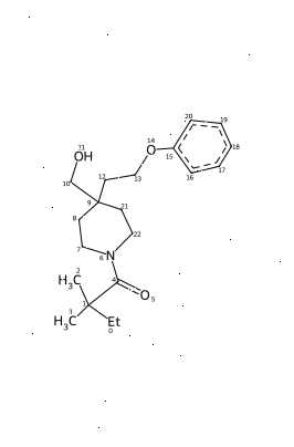 CCC(C)(C)C(=O)N1CCC(CO)(CCOc2ccccc2)CC1